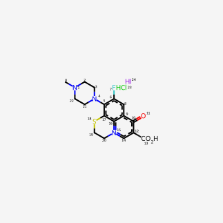 CN1CCN(c2c(F)cc3c(=O)c(C(=O)O)cn4c3c2SCC4)CC1.Cl.I